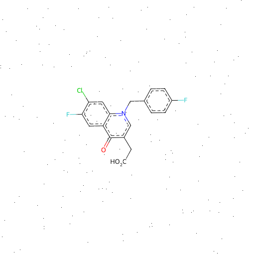 O=C(O)Cc1cn(Cc2ccc(F)cc2)c2cc(Cl)c(F)cc2c1=O